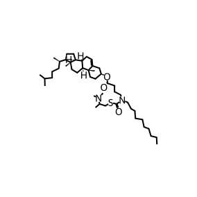 CCCCCCCCCCN(CCCC(=O)O[C@H]1CC[C@@]2(C)C(=CC[C@H]3[C@@H]4CC[C@H]([C@H](C)CCCC(C)C)[C@@]4(C)CC[C@@H]32)C1)C(=O)SCC(C)N(C)C